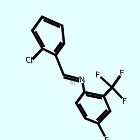 Fc1ccc(/N=C/c2ccccc2Cl)c(C(F)(F)F)c1